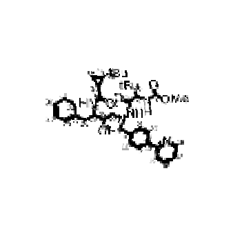 COC(=O)NC(C(=O)NN(Cc1ccc(-c2ccccn2)cc1)CC(O)C(CC1=CC=CCC1)NC(=O)C1C[C@H]1C(C)(C)C)C(C)(C)C